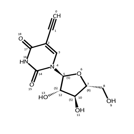 C#Cc1cn([C@H]2O[C@H](CO)[C@@H](O)[C@@H]2O)c(=O)[nH]c1=O